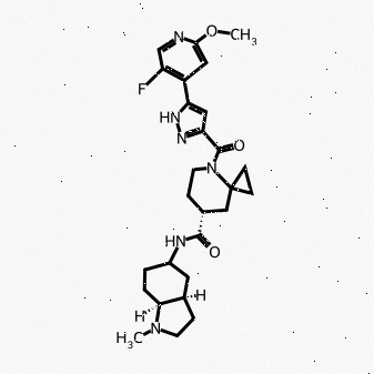 COc1cc(-c2cc(C(=O)N3CC[C@@H](C(=O)NC4CC[C@H]5[C@H](CCN5C)C4)CC34CC4)n[nH]2)c(F)cn1